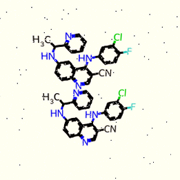 CC(Nc1ccc2ncc(C#N)c(Nc3ccc(F)c(Cl)c3)c2c1)c1ccccn1.CC(Nc1ccc2ncc(C#N)c(Nc3ccc(F)c(Cl)c3)c2c1)c1ccccn1